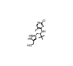 CC(C)(C)[C@@H](CN1C=C(CO)NN1)Nc1nc(Cl)ncc1F